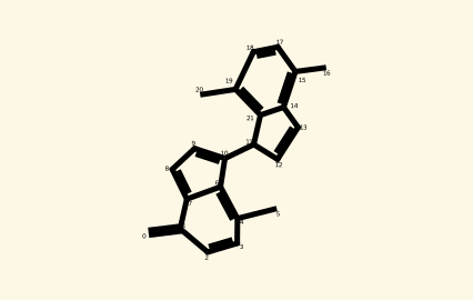 C=c1ccc(C)c2c1=CC=C2C1C=Cc2c(C)ccc(C)c21